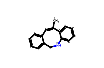 C/C1=C/c2ccccc2CNc2ccccc21